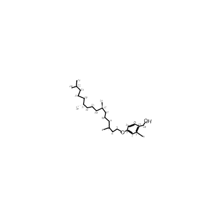 Cc1cc(OCCC(C)CCC[C@H](C)CCC[C@H](C)CCCC(C)C)ccc1CO